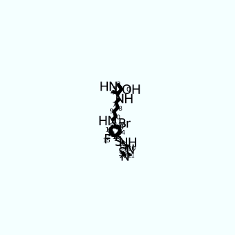 O[C@@H]1CNC[C@H]1NCCCCNc1cc(F)c(SNc2ncns2)cc1Br